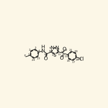 Cc1ccc(NC(=O)c2nnc(S(=O)(=O)c3ccc(Cl)cc3)s2)cc1